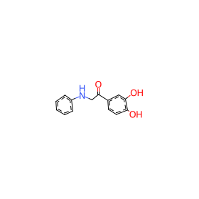 O=C(CNc1ccccc1)c1ccc(O)c(O)c1